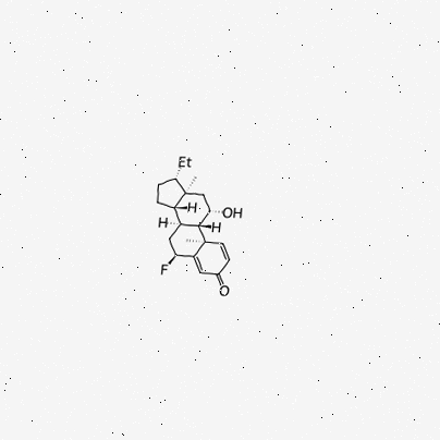 CC[C@H]1CC[C@H]2[C@@H]3C[C@H](F)C4=CC(=O)C=C[C@]4(C)[C@H]3[C@@H](O)C[C@]12C